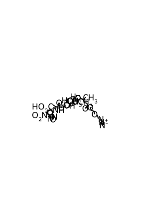 CC(CCC(=O)OCCOCCN=[N+]=[N-])C1CC[C@H]2[C@@H]3CC[C@@H]4C[C@H](OC(=O)C(CC(=O)O)Nc5ccc([N+](=O)[O-])c6nonc56)CC[C@]4(C)[C@H]3CC[C@]12C